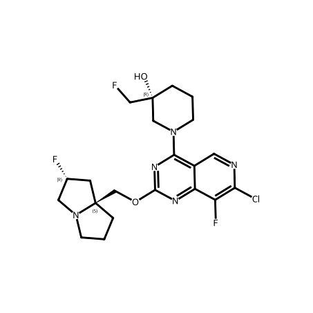 O[C@]1(CF)CCCN(c2nc(OC[C@@]34CCCN3C[C@H](F)C4)nc3c(F)c(Cl)ncc23)C1